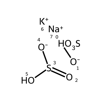 O=S(=O)([O-])O.O=S([O-])O.[K+].[Na+]